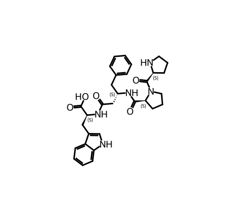 O=C(C[C@H](Cc1ccccc1)NC(=O)[C@@H]1CCCN1C(=O)[C@@H]1CCCN1)N[C@@H](Cc1c[nH]c2ccccc12)C(=O)O